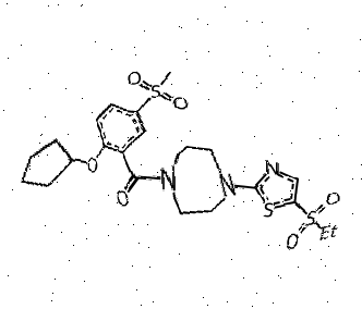 CCS(=O)(=O)c1cnc(N2CCN(C(=O)c3cc(S(C)(=O)=O)ccc3OC3CCCC3)CC2)s1